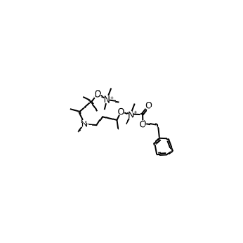 CC(CCN(C)C(C)C(C)(C)O[N+](C)(C)C)O[N+](C)(C)C(=O)OCc1ccccc1